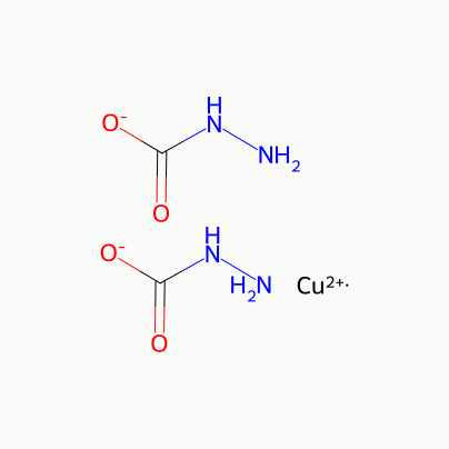 NNC(=O)[O-].NNC(=O)[O-].[Cu+2]